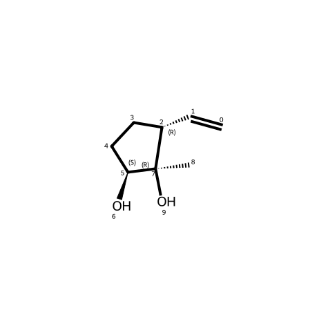 C=C[C@H]1CC[C@H](O)[C@]1(C)O